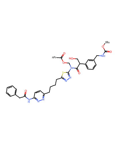 CCCC(=O)OCN(C(=O)C(CO)c1cccc(CNC(=O)OC(C)(C)C)c1)c1nnc(CCCCc2ccc(NC(=O)Cc3ccccc3)nn2)s1